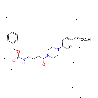 O=C(O)Cc1ccc(N2CCN(C(=O)CCCNC(=O)OCc3ccccc3)CC2)cc1